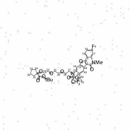 CNC(=O)c1c(-c2ccc(F)cc2)oc2cc(N(CCOCCOCCOC3(C(=O)OC(C)(C)C)CCCC3)S(C)(=O)=O)c(C3CC3)cc12